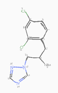 CCCCC(Cc1ccc(Cl)cc1Cl)Cn1cncn1